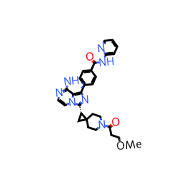 COCCC(=O)N1CCC2(CC1)C[C@@H]2c1nc(-c2ccc(C(=O)Nc3ccccn3)cc2)c2c(N)nccn12